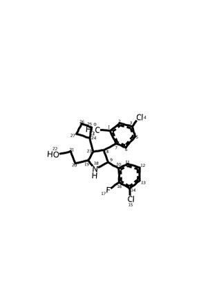 Cc1cc(Cl)ccc1C1C(c2cccc(Cl)c2F)NC(CCO)C1C1CCC1